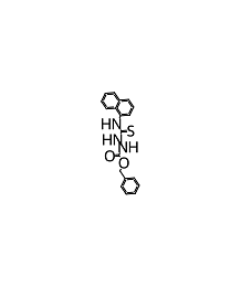 O=C(NNC(=S)Nc1cccc2ccccc12)OCc1ccccc1